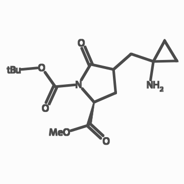 COC(=O)[C@@H]1CC(CC2(N)CC2)C(=O)N1C(=O)OC(C)(C)C